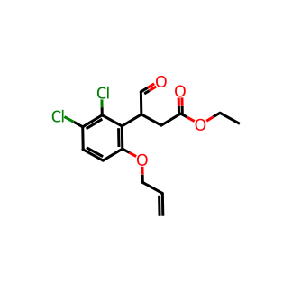 C=CCOc1ccc(Cl)c(Cl)c1C(C=O)CC(=O)OCC